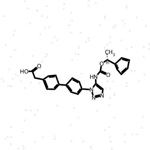 C[C@@H](OC(=O)Nc1cnnn1-c1ccc(-c2ccc(CC(=O)O)cc2)cc1)c1ccccc1